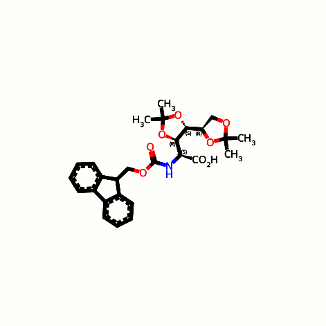 CC1(C)O[C@H]([C@H](NC(=O)OCC2c3ccccc3-c3ccccc32)C(=O)O)[C@@H]([C@H]2COC(C)(C)O2)O1